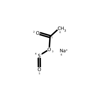 CC(=O)O[S-]=O.[Na+]